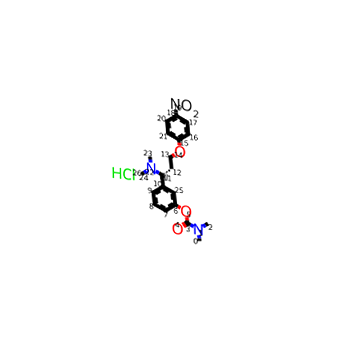 CN(C)C(=O)Oc1cccc([C@@H](CCOc2ccc([N+](=O)[O-])cc2)N(C)C)c1.Cl